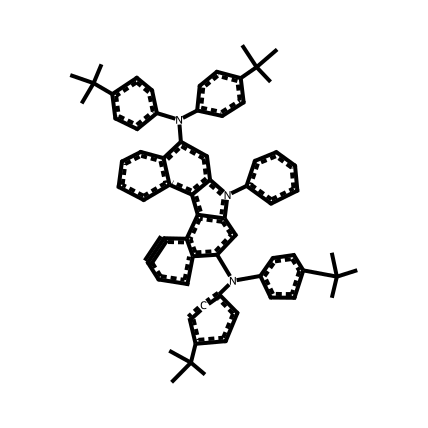 CC(C)(C)c1ccc(N(c2ccc(C(C)(C)C)cc2)c2cc3c(c4c#cccc24)c2c4ccccc4c(N(c4ccc(C(C)(C)C)cc4)c4ccc(C(C)(C)C)cc4)cc2n3-c2ccccc2)cc1